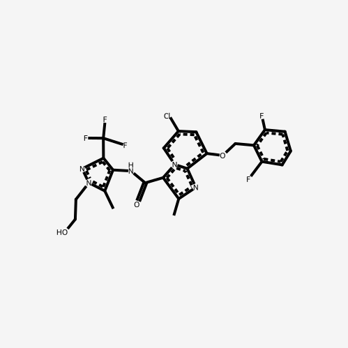 Cc1nc2c(OCc3c(F)cccc3F)cc(Cl)cn2c1C(=O)Nc1c(C(F)(F)F)nn(CCO)c1C